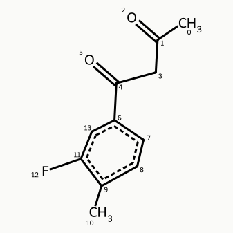 CC(=O)CC(=O)c1ccc(C)c(F)c1